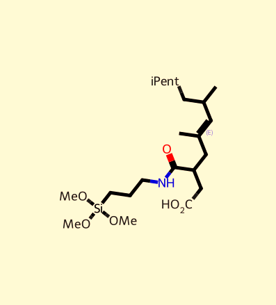 CCCC(C)CC(C)/C=C(\C)CC(CC(=O)O)C(=O)NCCC[Si](OC)(OC)OC